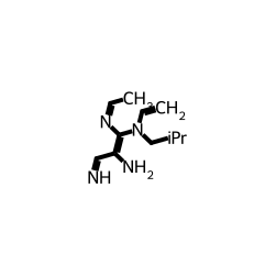 C=CN(CC(C)C)C(/N=C\C)=C(\N)C=N